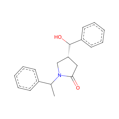 CC(c1ccccc1)N1C[C@H](C(O)c2ccccc2)CC1=O